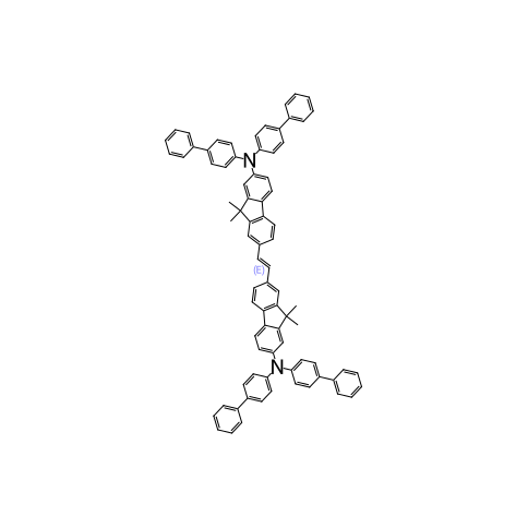 CC1(C)c2cc(/C=C/c3ccc4c(c3)C(C)(C)c3cc(N(c5ccc(-c6ccccc6)cc5)c5ccc(-c6ccccc6)cc5)ccc3-4)ccc2-c2ccc(N(c3ccc(-c4ccccc4)cc3)c3ccc(-c4ccccc4)cc3)cc21